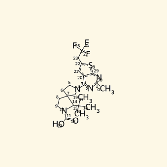 Cc1nc(N2CCC3(CCN(C(=O)O)C3C(C)(C)C)C2)c2cc(CC(F)(F)F)sc2n1